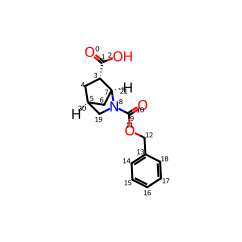 O=C(O)[C@H]1C[C@H]2C[C@@H]1N(C(=O)OCc1ccccc1)C2